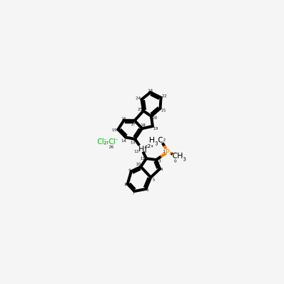 CP(C)C1=Cc2ccccc2[CH]1[Hf+2][c]1cccc2c1Cc1ccccc1-2.[Cl-].[Cl-]